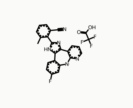 Cc1cccc(C#N)c1-c1nc2c([nH]1)-c1ccc(F)cc1[N]c1ncccc1-2.O=C(O)C(F)(F)F